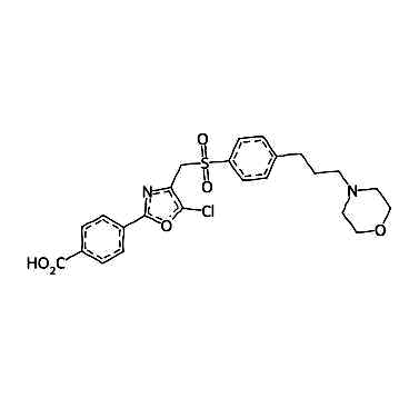 O=C(O)c1ccc(-c2nc(CS(=O)(=O)c3ccc(CCCN4CCOCC4)cc3)c(Cl)o2)cc1